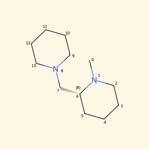 CN1CCCC[C@@H]1CN1CCCCC1